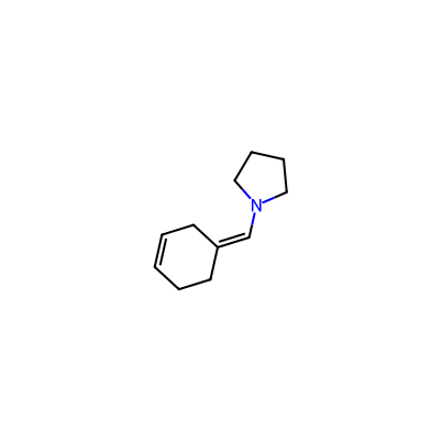 C1=CC/C(=C\N2CCCC2)CC1